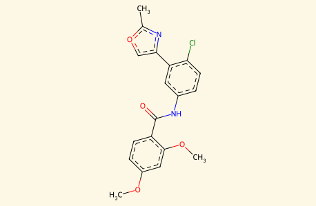 COc1ccc(C(=O)Nc2ccc(Cl)c(-c3coc(C)n3)c2)c(OC)c1